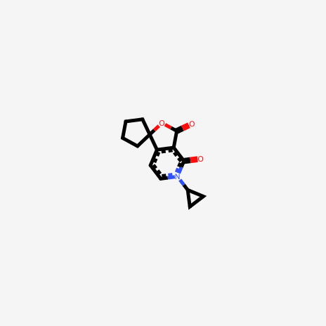 O=C1OC2(CCCC2)c2ccn(C3CC3)c(=O)c21